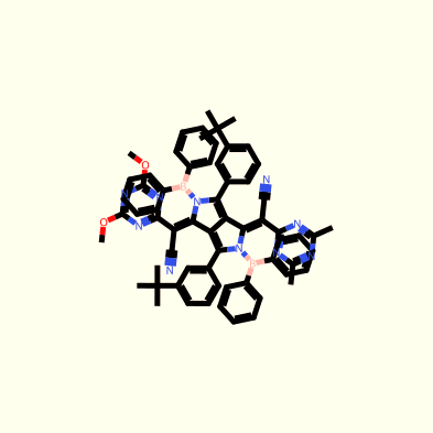 COc1nc(OC)nc(/C(C#N)=c2/c3c(-c4cccc(C(C)(C)C)c4)n(B(c4ccccc4)c4ccccc4)/c(=C(/C#N)c4nc(C)nc(C)n4)c3c(-c3cccc(C(C)(C)C)c3)n2B(c2ccccc2)c2ccccc2)n1